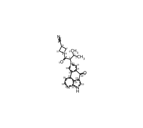 CC(C)C(C(=O)N1CC(C#N)C1)n1cc2c(c1)-c1ccnc3[nH]cc(c13)C2=O